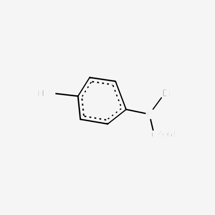 CCCCCP(CC)c1ccc(C)cc1